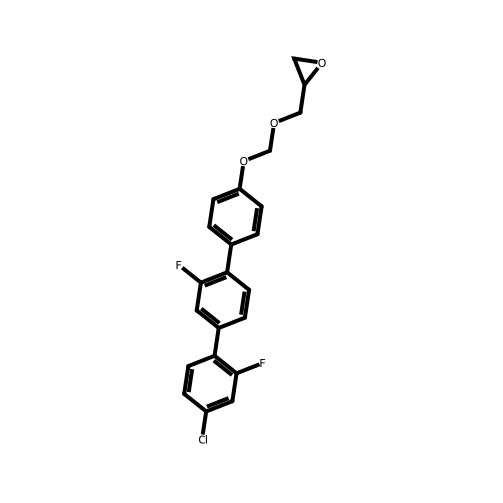 Fc1cc(Cl)ccc1-c1ccc(-c2ccc(OCOCC3CO3)cc2)c(F)c1